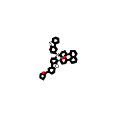 c1ccc(-c2cccc3cccc(-c4ccc(N(c5ccc6c(c5)oc5ccc(C7CC8CCC7C8)cc56)c5ccc6sc7ccccc7c6c5)cc4)c23)cc1